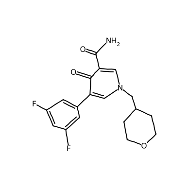 NC(=O)c1cn(CC2CCOCC2)cc(-c2cc(F)cc(F)c2)c1=O